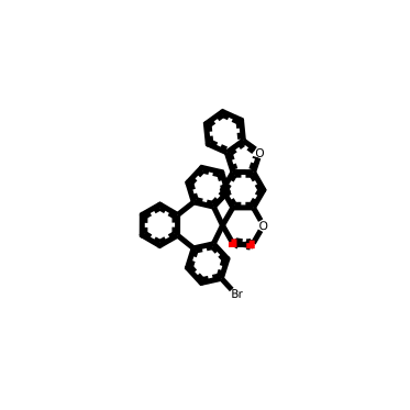 Brc1ccc2c(c1)C1(c3ccccc3Oc3cc4oc5ccccc5c4cc31)c1ccccc1-c1ccccc1-2